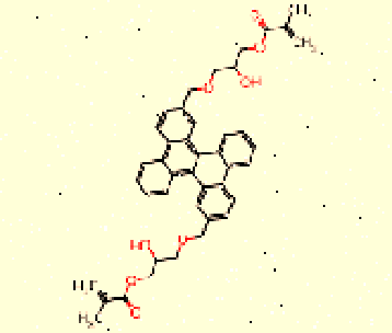 C=C(C)C(=O)OCC(O)COCc1ccc2c3ccccc3c3c4cc(COCC(O)COC(=O)C(=C)C)ccc4c4ccccc4c3c2c1